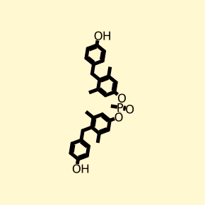 Cc1cc(OP(C)(=O)Oc2cc(C)c(Cc3ccc(O)cc3)c(C)c2)cc(C)c1Cc1ccc(O)cc1